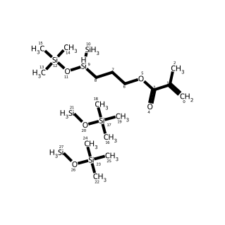 C=C(C)C(=O)OCCC[SiH]([SiH3])O[Si](C)(C)C.C[Si](C)(C)O[SiH3].C[Si](C)(C)O[SiH3]